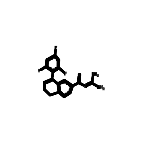 NC(N)=NC(=O)c1ccc2c(c1)C(c1c(F)cc(F)cc1F)=CCC2